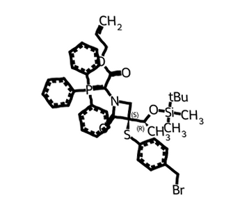 C=CCOC(=O)C(N1C[C@](Sc2ccc(CBr)cc2)([C@@H](C)O[Si](C)(C)C(C)(C)C)C1=O)=P(c1ccccc1)(c1ccccc1)c1ccccc1